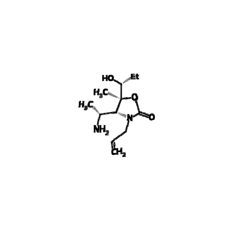 C=CCN1C(=O)O[C@](C)([C@H](O)CC)[C@H]1[C@@H](C)N